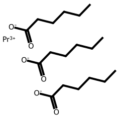 CCCCCC(=O)[O-].CCCCCC(=O)[O-].CCCCCC(=O)[O-].[Pr+3]